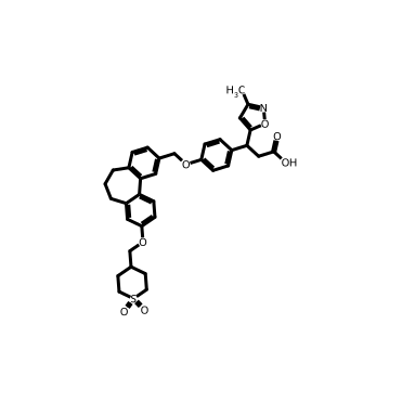 Cc1cc(C(CC(=O)O)c2ccc(OCc3ccc4c(c3)-c3ccc(OCC5CCS(=O)(=O)CC5)cc3CCC4)cc2)on1